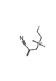 C=C(C#N)C[N+](C)(C)CCC